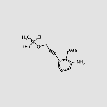 COc1c(N)cccc1C#CCO[Si](C)(C)C(C)(C)C